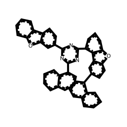 c1ccc2c(-c3ccc4oc5cccc(-c6nc(-c7ccc8c(c7)oc7ccccc78)nc(-c7cccc8ccccc78)n6)c5c4c3)cccc2c1